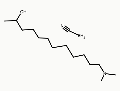 BC#N.CC(O)CCCCCCCCCCN(C)C